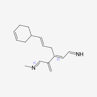 C=C(/C=N/C)/C(=C/C=N)CC=CC1CC=CCC1